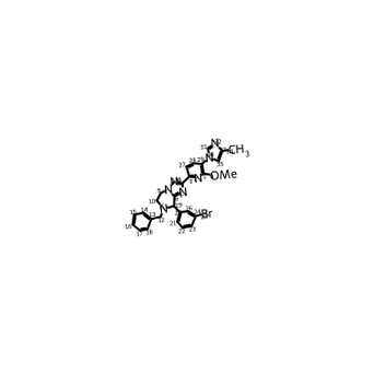 COc1nc(-c2nc3n(n2)CCN(Cc2ccccc2)C3c2cccc(Br)c2)ccc1-n1cnc(C)c1